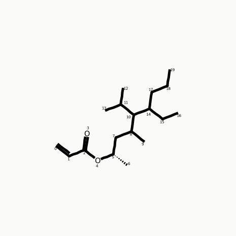 C=CC(=O)O[C@@H](C)CC(C)C(C(C)C)C(CC)CCC